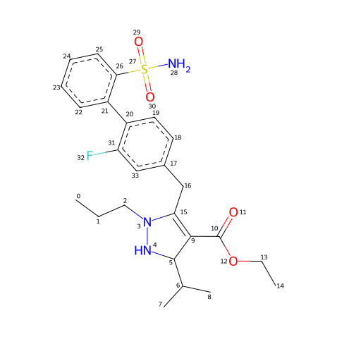 CCCN1NC(C(C)C)C(C(=O)OCC)=C1Cc1ccc(-c2ccccc2S(N)(=O)=O)c(F)c1